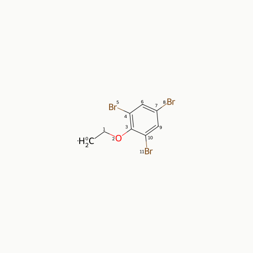 [CH2]COc1c(Br)cc(Br)cc1Br